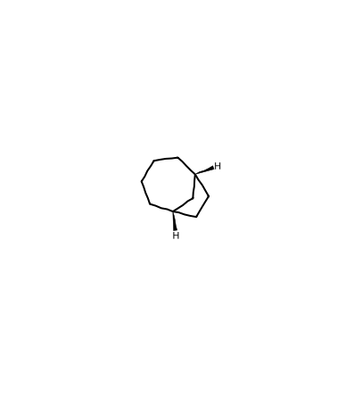 C1CC[C@H]2CC[C@@H](C1)C2